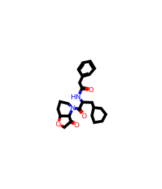 O=C(Cc1ccccc1)NC(CC1CCCCC1)C(=O)N1CCCC2OCC(=O)C21